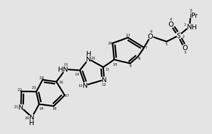 CC(C)NS(=O)(=O)COc1ccc(-c2nnc(Nc3ccc4[nH]ncc4c3)[nH]2)cc1